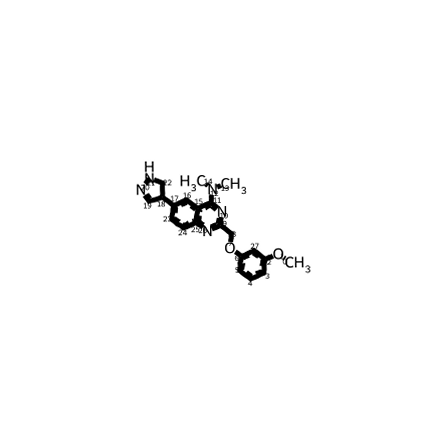 COc1cccc(OCc2nc(N(C)C)c3cc(C4C=NNC4)ccc3n2)c1